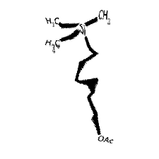 CC(=O)OCCCC[Si](C)(C)C